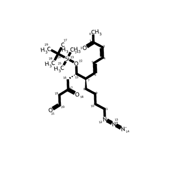 CC(=O)/C=C\C=C\[C@@H](CCCCN=[N+]=[N-])[C@H](CC(=O)CC=O)O[Si](C)(C)C(C)(C)C